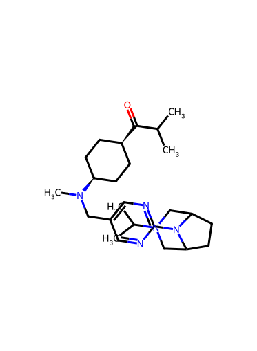 CC(C)C(=O)[C@H]1CC[C@@H](N(C)Cc2cnc(N3C4CCC3CN(C(C)C)C4)nc2)CC1